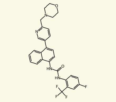 O=C(Nc1ccc(F)cc1C(F)(F)F)Nc1ccc(-c2ccc(CN3CCOCC3)nc2)c2ccccc12